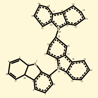 C1=CC2Sc3c(cccc3-n3c4ccccc4c4cc(-n5c6ccccc6c6ccccc65)ccc43)C2C=C1